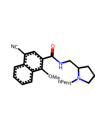 CCCCCN1CCCC1CNC(=O)c1cc(C#N)c2ccccc2c1OC